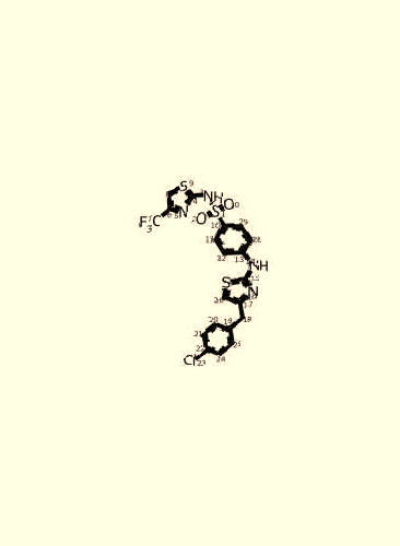 O=S(=O)(Nc1nc(C(F)(F)F)cs1)c1ccc(Nc2nc(Cc3ccc(Cl)cc3)cs2)cc1